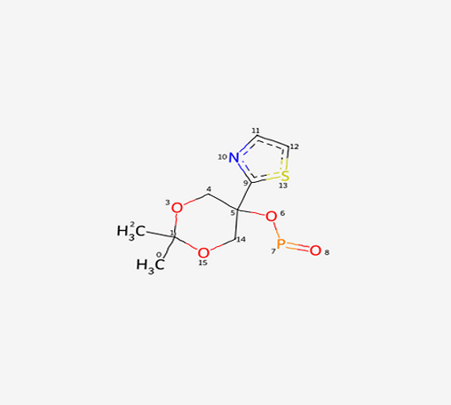 CC1(C)OCC(OP=O)(c2nccs2)CO1